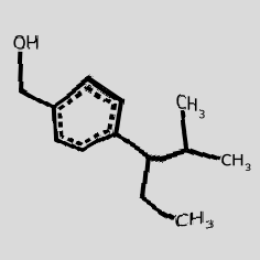 CCC(c1ccc(CO)cc1)C(C)C